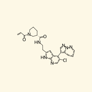 C=CC(=O)N1CCC[C@H](C(=O)NCCc2cc3c(-c4cnn5ncccc45)c(Cl)cnc3[nH]2)C1